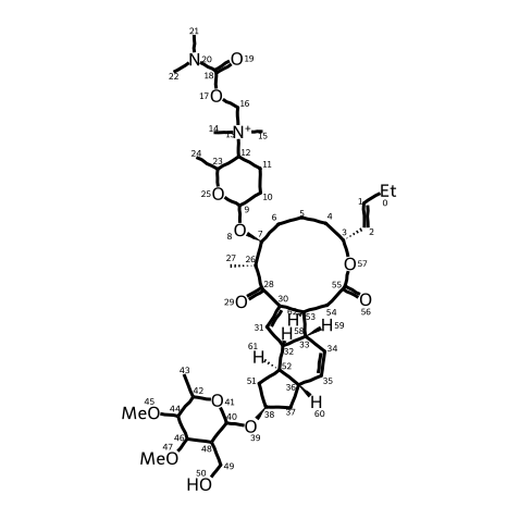 CC/C=C/[C@H]1CCC[C@H](OC2CCC([N+](C)(C)COC(=O)N(C)C)C(C)O2)[C@@H](C)C(=O)C2=C[C@@H]3[C@@H](C=C[C@@H]4C[C@@H](OC5OC(C)C(OC)C(OC)C5CO)C[C@@H]34)[C@@H]2CC(=O)O1